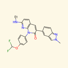 CCNc1ccc2cc(-c3ccc4nn(C)cc4c3)c(=O)n(-c3ccc(OC(F)F)cc3)c2n1